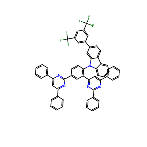 FC(F)(F)c1cc(-c2ccc3c4ccccc4n(-c4ccc(-c5nc(-c6ccccc6)cc(-c6ccccc6)n5)cc4-c4cc(-c5ccccc5)nc(-c5ccccc5)n4)c3c2)cc(C(F)(F)F)c1